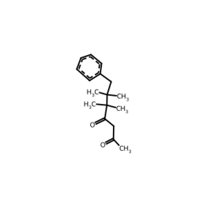 CC(=O)CC(=O)C(C)(C)C(C)(C)Cc1ccccc1